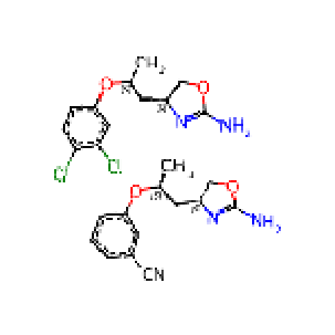 C[C@@H](C[C@H]1COC(N)=N1)Oc1ccc(Cl)c(Cl)c1.C[C@@H](C[C@H]1COC(N)=N1)Oc1cccc(C#N)c1